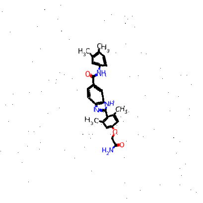 Cc1ccc(NC(=O)c2ccc3nc(-c4c(C)cc(OCC(N)=O)cc4C)[nH]c3c2)cc1C